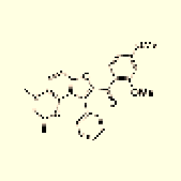 C=C1C=C(C)c2ccc3oc(C(=O)c4ccc(OC)cc4OC)c(-c4ccccc4)c3c2O1